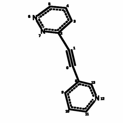 C(#Cc1cccnn1)c1cccnc1